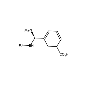 CN[C@H](BO)c1cccc(C(=O)O)c1